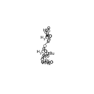 Cc1c(OC2CCC(CCN3CCN(c4cccc5c(C6CCC(=O)NC6=O)nn(C)c45)CC3)CC2)cccc1-c1ccc(N2CCc3cccc(C(=O)Nc4nc5ccccc5s4)c3C2)nc1C(=O)OC(C)(C)C